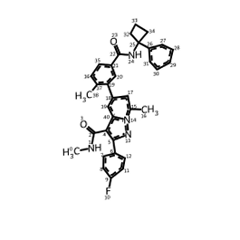 CNC(=O)c1c(-c2ccc(F)cc2)nn2c(C)cc(-c3cc(C(=O)NC4(c5ccccc5)CCC4)ccc3C)cc12